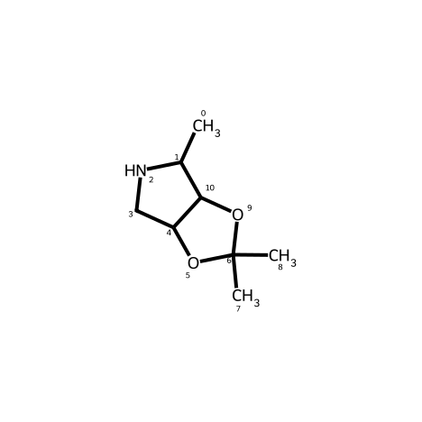 CC1NCC2OC(C)(C)OC12